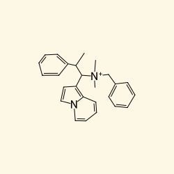 CC(c1ccccc1)C(c1ccn2ccccc12)[N+](C)(C)Cc1ccccc1